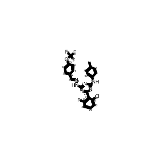 Cc1ccc(Nc2nc(NN=Cc3ccc(OC(F)(F)F)cc3)nc(-c3c(F)cccc3Cl)n2)cc1